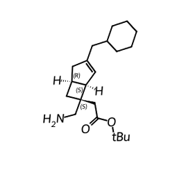 CC(C)(C)OC(=O)C[C@@]1(CN)C[C@H]2CC(CC3CCCCC3)=C[C@H]21